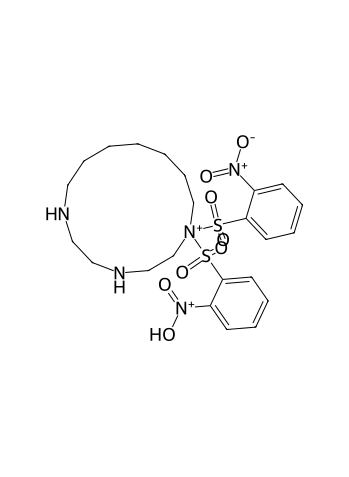 O=[N+]([O-])c1ccccc1S(=O)(=O)[N+]1(S(=O)(=O)c2ccccc2[N+](=O)O)CCCCCCCNCCNCC1